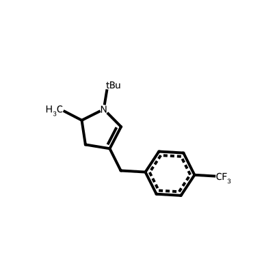 CC1CC(Cc2ccc(C(F)(F)F)cc2)=CN1C(C)(C)C